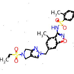 C=CS(=O)(=O)N1Cc2cn(Cc3cc(C)c4c(NS(=O)(=O)c5ccccc5C)noc4c3)nc2C1